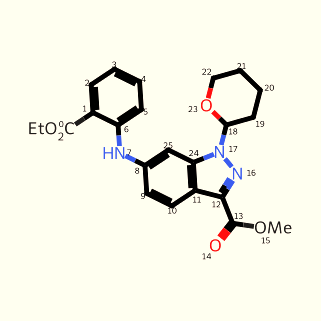 CCOC(=O)c1ccccc1Nc1ccc2c(C(=O)OC)nn(C3CCCCO3)c2c1